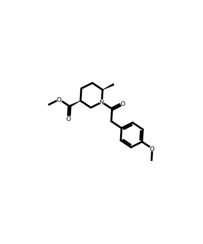 COC(=O)[C@H]1CC[C@@H](C)N(C(=O)Cc2ccc(OC)cc2)C1